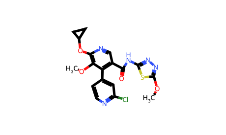 COc1nnc(NC(=O)c2cnc(OC3CC3)c(OC)c2-c2ccnc(Cl)c2)s1